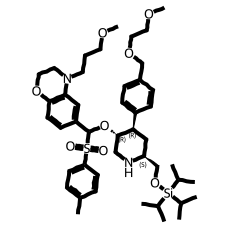 COCCCN1CCOc2ccc(C(O[C@H]3CN[C@H](CO[Si](C(C)C)(C(C)C)C(C)C)C[C@@H]3c3ccc(COCCOC)cc3)S(=O)(=O)c3ccc(C)cc3)cc21